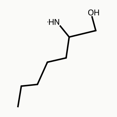 CCCCCC([NH])CO